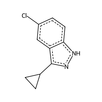 Clc1ccc2[nH]nc(C3CC3)c2c1